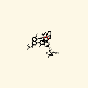 COc1c(F)c(-c2cc(OC(F)F)cc3ccc(F)c(C#C[Si](C(C)C)(C(C)C)C(C)C)c23)c(F)c2nc(OCC3(CO)CC3(F)F)nc(N3CC4CCC(C3)N4)c12